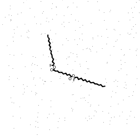 CCCCCCCCCCCCCCCC(F)OC(=O)CCCCCCCCC(=O)OC(F)CCCCCCCCCCCCCCC